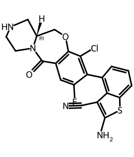 N#Cc1c(N)sc2cccc(-c3c(F)cc4c(c3Cl)OC[C@H]3CNCCN3C4=O)c12